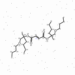 CCCCOCC(C)(CCCC)OC(=O)/C=C/C(=O)OC(C)(CCCC)COCCCC